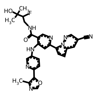 Cc1ncoc1-c1ccc(Nc2cc(-c3ccc4cc(C#N)cnn34)ncc2C(=O)NCC(F)C(C)(C)O)cn1